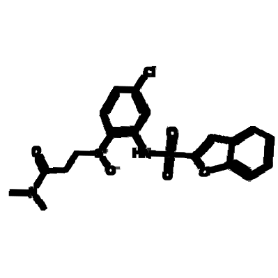 CN(C)C(=O)CC[S+]([O-])c1ccc(Cl)cc1NS(=O)(=O)c1cc2ccccc2o1